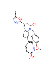 COc1ccc(CN2C(=O)CC(c3ncc(C)o3)=Cc3ccc(-c4ccc(OC)nc4)cc32)cc1